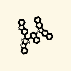 c1ccc2cc3c(cc2c1)c1cc2ccccc2cc1n3-c1ccc(-c2nc3c(nc2-c2ccc4c(c2)sc2ccccc24)sc2ccccc23)c2ccccc12